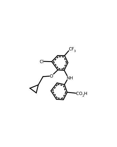 O=C(O)c1ccccc1Nc1cc(C(F)(F)F)cc(Cl)c1OCC1CC1